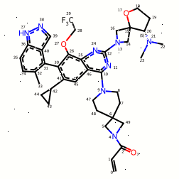 C=CC(=O)N1CC2(CCN(c3nc(N4CC5(C4)OCC[C@@H]5N(C)C)nc4c(OCC(F)(F)F)c(-c5c(C)ccc6[nH]ncc56)c(C5CC5)cc34)CC2)C1